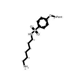 CCCCCOc1ccc(S(=O)(=O)NCCCCCCN)cc1